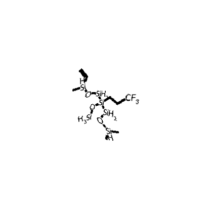 C=C[SiH](C)O[SiH2][Si](CCC(F)(F)F)(O[SiH3])[SiH2]O[SiH](C)C